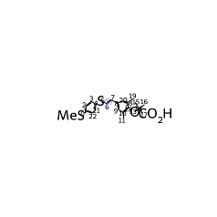 CSc1ccc(S/C=C/c2cc(C)c(OC(C)(C)C(=O)O)c(C)c2)cc1